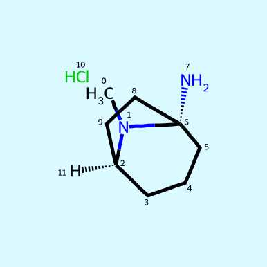 CN1[C@H]2CCC[C@]1(N)CC2.Cl